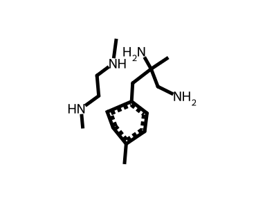 CNCCNC.Cc1ccc(CC(C)(N)CN)cc1